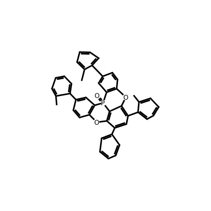 Cc1ccccc1-c1ccc2c(c1)P1(=O)c3cc(-c4ccccc4C)ccc3Oc3c(-c4ccccc4C)cc(-c4ccccc4)c(c31)O2